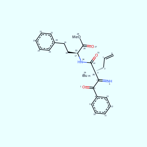 C=CC[C@@](C(=N)C(=O)c1ccccc1)(C(=O)N[C@@H](CCc1ccccc1)C(=O)OC)[C@H](C)CC